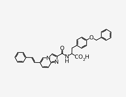 O=C(NC(Cc1ccc(OCc2ccccc2)cc1)C(=O)O)c1cn2cc(C=Cc3ccccc3)ccc2n1